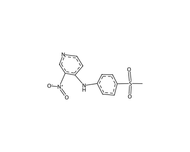 CS(=O)(=O)c1ccc(Nc2ccncc2[N+](=O)[O-])cc1